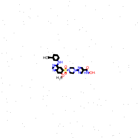 C#Cc1cccc(Nc2ncnc3cc(OC)c(S(=O)(=O)N4CCN(c5ncc(C(=O)NO)cn5)CC4)cc23)c1